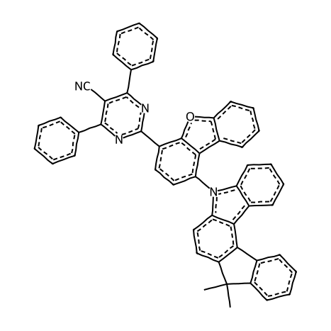 CC1(C)c2ccccc2-c2c1ccc1c2c2ccccc2n1-c1ccc(-c2nc(-c3ccccc3)c(C#N)c(-c3ccccc3)n2)c2oc3ccccc3c12